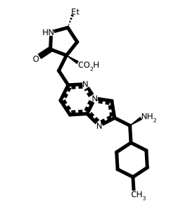 CC[C@@H]1C[C@@](Cc2ccc3nc([C@@H](N)C4CCC(C)CC4)cn3n2)(C(=O)O)C(=O)N1